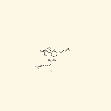 C=CCCC[C@@H]1C[C@@H](NC(=O)C=C(C)CCC=C)C[C@](O)([C@@H]2CSC(=O)N2)O1